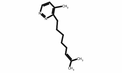 CC(C)=CCCCCCc1nnccc1C